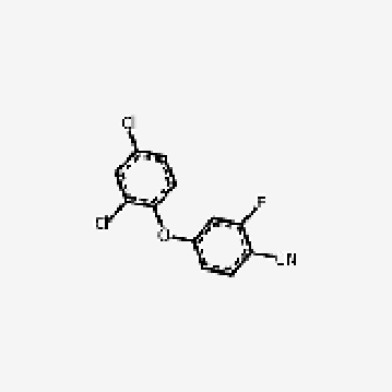 N#Cc1ccc(Oc2ccc(Cl)cc2Cl)cc1F